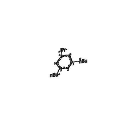 CCCCc1cc(CCCC)cc([C](C)C)c1